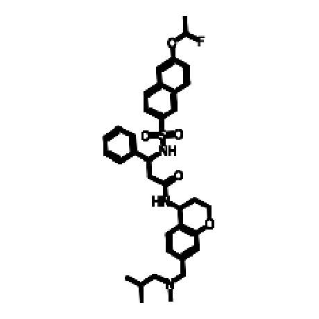 CC(C)CN(C)Cc1ccc2c(c1)OCCC2NC(=O)CC(NS(=O)(=O)c1ccc2cc(OC(C)F)ccc2c1)c1ccccc1